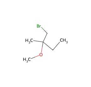 CCC(C)(CBr)OC